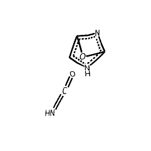 N=C=O.c1[nH]c2nc1O2